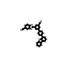 N#Cc1cc(-c2ccc(-c3cccc4c3sc3ccccc34)cc2)cc(-c2nc3ccc(C#N)cc3s2)c1